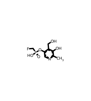 Cc1ncc(OP(=O)(O)CF)c(CO)c1O